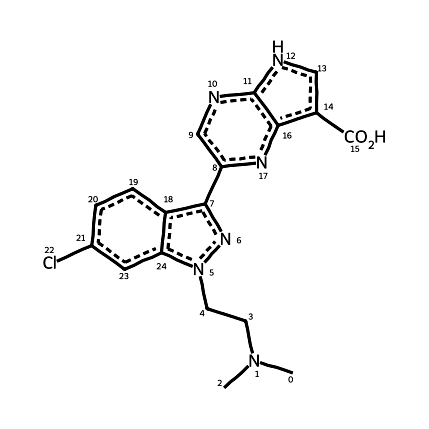 CN(C)CCn1nc(-c2cnc3[nH]cc(C(=O)O)c3n2)c2ccc(Cl)cc21